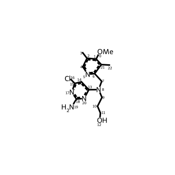 COc1c(C)cnc(CN(CCCO)c2cc(Cl)nc(N)n2)c1C